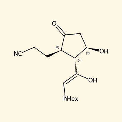 CCCCCCC=C(O)[C@H]1[C@H](O)CC(=O)[C@@H]1CCC#N